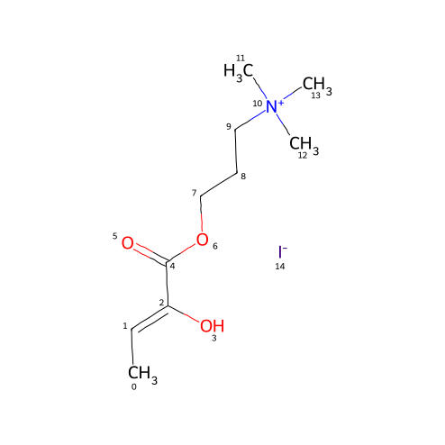 CC=C(O)C(=O)OCCC[N+](C)(C)C.[I-]